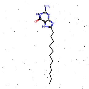 CCCCCCCCCCCCc1nc2nc(N)[nH]c(=O)c2[nH]1